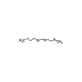 CCCCOCOCCSC